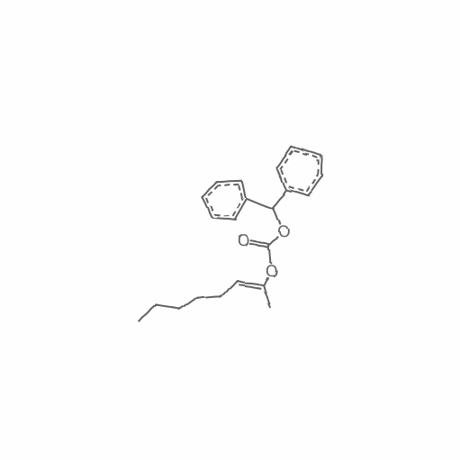 CCCCCC=C(C)OC(=O)OC(c1ccccc1)c1ccccc1